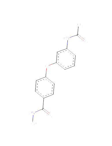 CNC(=O)c1ccc(Oc2cccc(NC(C)=O)c2)cc1